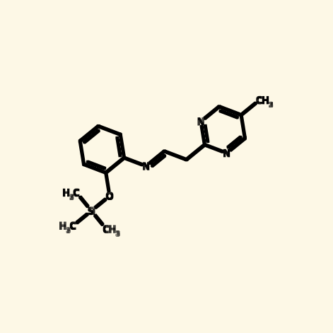 Cc1cnc(CC=Nc2ccccc2O[Si](C)(C)C)nc1